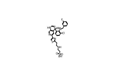 CCCS(=O)(=O)CCNCCc1nc(-c2cc3c(cn2)NC=NC3(N)c2cccc(Cl)c2OCc2cccc(F)c2)cs1